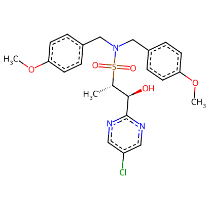 COc1ccc(CN(Cc2ccc(OC)cc2)S(=O)(=O)[C@@H](C)[C@@H](O)c2ncc(Cl)cn2)cc1